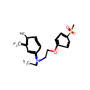 CS(=O)(=O)c1ccc(OCCN(CC(F)(F)F)c2ccc(C#N)c(C(F)(F)F)c2)cc1